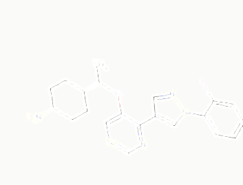 CC(Oc1cncnc1-c1cnn(-c2ccccc2F)c1)[C@H]1CC[C@@H](N)CC1